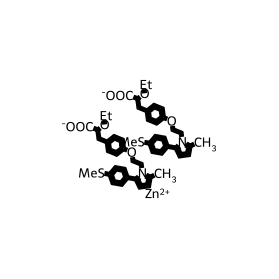 CCOC(Cc1ccc(OCCn2c(C)ccc2-c2ccc(SC)cc2)cc1)C(=O)[O-].CCOC(Cc1ccc(OCCn2c(C)ccc2-c2ccc(SC)cc2)cc1)C(=O)[O-].[Zn+2]